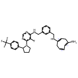 N/C1=C\C=C/C/C(NCc2cccc(CNc3ncnc(N4CCCC4c4ccc(C(F)(F)F)cc4)c3F)c2)=C\C1